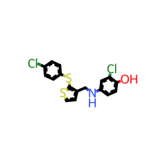 Oc1ccc(NCc2ccsc2Sc2ccc(Cl)cc2)cc1Cl